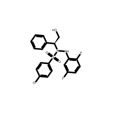 O=S(=O)(c1ccc(Cl)cc1)N(Nc1cc(F)ccc1F)[C@H](CO)c1ccccc1